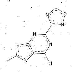 Cc1nc2c(Cl)nc(-c3ncon3)nc2s1